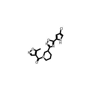 Cc1oncc1C(=O)N1CCCC(c2noc(-c3cc(Cl)c[nH]3)n2)C1